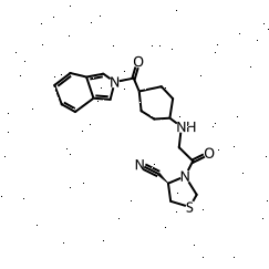 N#C[C@@H]1CSCN1C(=O)CNC1CCC(C(=O)n2cc3ccccc3c2)CC1